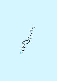 CCCC1CCC(C2CCC(C3CCC(c4ccc(CF)cc4)CC3)CC2)CC1